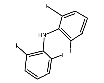 Ic1cccc(I)c1Nc1c(I)cccc1I